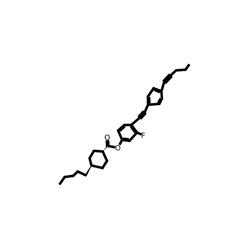 CCCC#Cc1ccc(C#Cc2ccc(OC(=O)[C@H]3CC[C@H](CCCCC)CC3)cc2F)cc1